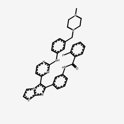 CN1CCN(Cc2cccc(Nc3nccc(-c4c(-c5cccc(NC(=O)c6ccccc6F)c5)nc5sccn45)n3)c2)CC1